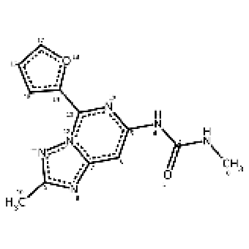 CNC(=O)Nc1cc2nc(C)nn2c(-c2ccco2)n1